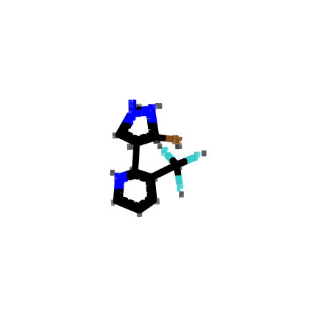 FC(F)(F)c1cccnc1-c1[c][nH]nc1Br